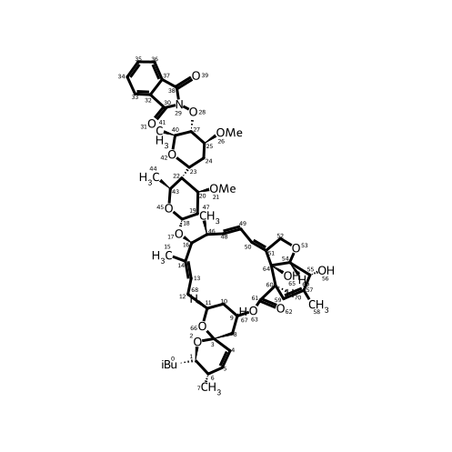 CC[C@@H](C)[C@H]1O[C@]2(C=C[C@@H]1C)C[C@@H]1C[C@@H](C/C=C(\C)[C@@H](O[C@H]3C[C@H](OC)[C@@H](C4C[C@H](OC)[C@@H](ON5C(=O)c6ccccc6C5=O)[C@H](C)O4)[C@H](C)O3)[C@@H](C)/C=C/C=C3\CO[C@@H]4[C@H](O)C(C)=C[C@@H](C(=O)O1)[C@]34O)O2